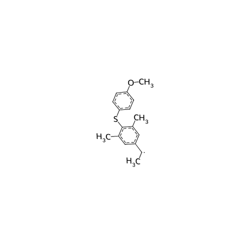 C[CH]c1cc(C)c(Sc2ccc(OC)cc2)c(C)c1